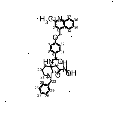 Cc1cc(COc2ccc(C(=O)NC3(CC(=O)NO)CCCN(Cc4ccccc4)C3)cc2)c2ccccc2n1